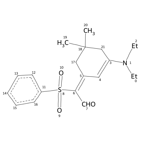 CCN(CC)C1=C/C(=C(\C=O)S(=O)(=O)c2ccccc2)CC(C)(C)C1